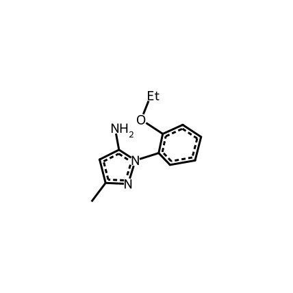 CCOc1ccccc1-n1nc(C)cc1N